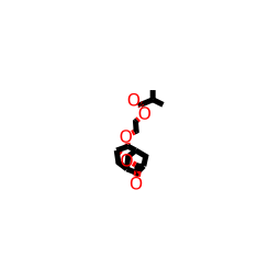 CC(C)C(=O)OCCOC1C2CC3CC(C2)C(=O)OC1C3